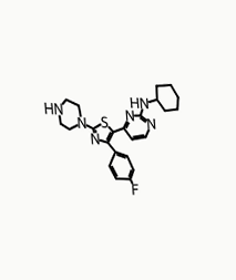 Fc1ccc(-c2nc(N3CCNCC3)sc2-c2ccnc(NC3CCCCC3)n2)cc1